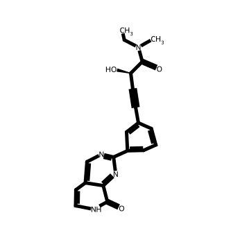 CCN(C)C(=O)[C@H](O)C#Cc1cccc(-c2ncc3cc[nH]c(=O)c3n2)c1